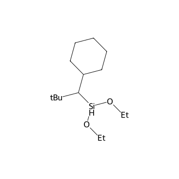 CCO[SiH](OCC)C(C1CCCCC1)C(C)(C)C